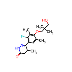 Cc1cc(C2=NNC(=O)CC2C)c(F)c(C)c1OCC(C)(C)CO